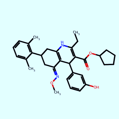 CCC1=C(C(=O)OC2CCCC2)C(c2cccc(O)c2)C2=C(CC(c3c(C)cccc3C)CC2=NOC)N1